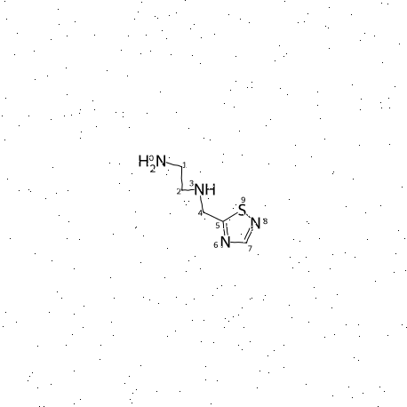 NCCNCc1ncns1